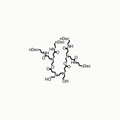 CCCCCCCCCCCCNC(=O)CCN(CCOC(=O)CCN(CCO)CCN(CCO)CCC(=O)OCCN(CCC(=O)NCCCCCCCCCCCC)CCC(=O)NCCCCCCCCCCCC)CCC(=O)NCCCCCCCCCCCC